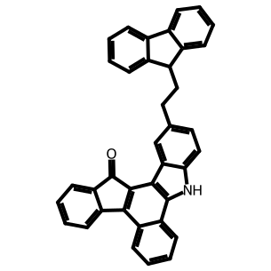 O=C1c2ccccc2-c2c1c1c3cc(CCC4c5ccccc5-c5ccccc54)ccc3[nH]c1c1ccccc21